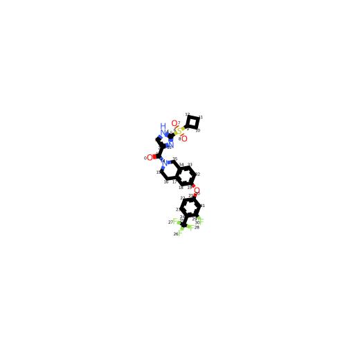 O=C(c1c[nH]c(S(=O)(=O)C2CCC2)n1)N1CCc2cc(Oc3ccc(C(F)(F)F)c(F)c3)ccc2C1